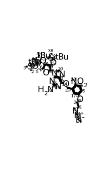 CC(C)(C)[Si](C)(C)OC[C@H]1O[C@@H](n2cnc3c(OCc4cc(OCCN=[N+]=[N-])ccc4[N+](=O)[O-])nc(N)nc32)[C@H](O[Si](C)(C)C(C)(C)C)[C@@H]1O[Si](C)(C)C(C)(C)C